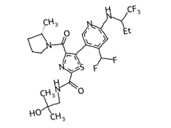 CCC(Nc1cc(C(F)F)c(-c2sc(C(=O)NCC(C)(C)O)nc2C(=O)N2CCC[C@@H]2C)cn1)C(F)(F)F